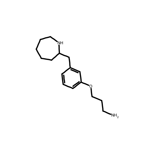 NCCCOc1cccc(CC2CCCCCN2)c1